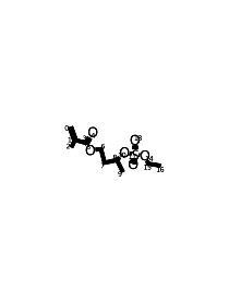 C=C(C)C(=O)OCCC(C)OS(=O)(=O)OCC